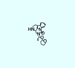 C=CC(OC1CCCCO1)N1CC2NCCc3c2n(c2ccccc32)C1=O